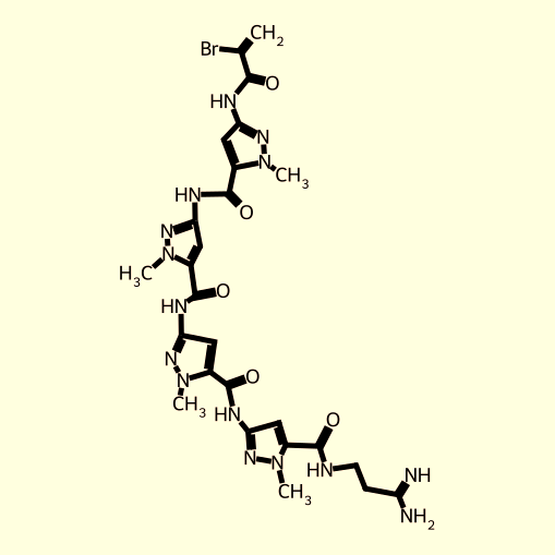 C=C(Br)C(=O)Nc1cc(C(=O)Nc2cc(C(=O)Nc3cc(C(=O)Nc4cc(C(=O)NCCC(=N)N)n(C)n4)n(C)n3)n(C)n2)n(C)n1